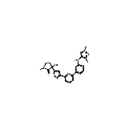 CN1CCC(O)(c2cc(-c3cccc(-c4ccnc(Nc5cn(C)nc5F)n4)n3)no2)C1=O